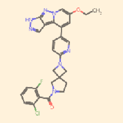 CCOc1cc(-c2ccc(N3CC4(CCN(C(=O)c5c(F)cccc5Cl)C4)C3)nc2)c2c3cn[nH]c3nn2c1